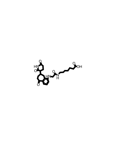 O=C(O)CCCCCCNC(=O)CNc1cccc2c1CC(C1CCC(=O)NC1=O)CCC2=O